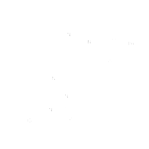 Cc1ccc(CN2CCN(C(=O)OC(C)(C)C)CC2)cc1-c1ccc2c(n1)n(C)c(=O)n2CC(C)(C)C